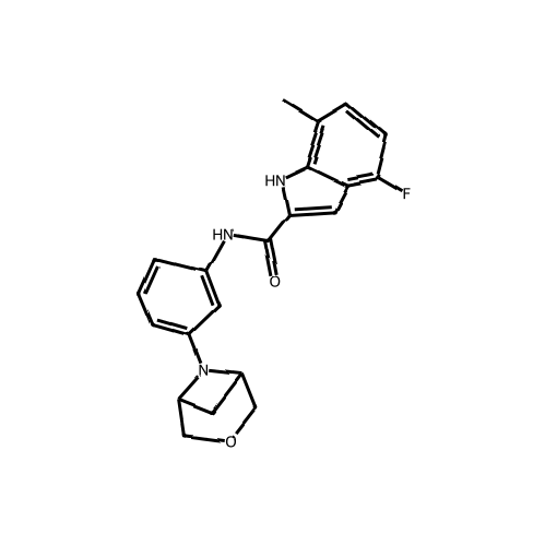 Cc1ccc(F)c2cc(C(=O)Nc3cccc(N4C5COCC4C5)c3)[nH]c12